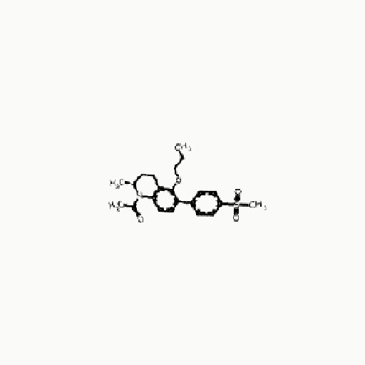 CCCOc1c(-c2ccc(S(C)(=O)=O)cc2)ccc2c1CC[C@H](C)N2C(C)=O